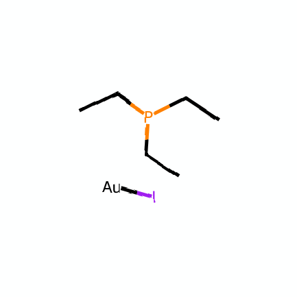 CCP(CC)CC.[I][Au]